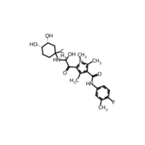 Cc1cc(NC(=O)c2c(C)c(C(=O)C(O)NC3(C)CC[C@H](O)[C@H](O)C3)n(C)c2C)ccc1F